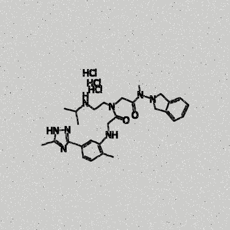 Cc1nc(-c2ccc(C)c(NCC(=O)N(CCNC(C)C)CC(=O)N(C)N3Cc4ccccc4C3)c2)n[nH]1.Cl.Cl.Cl